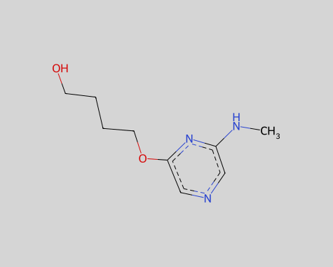 CNc1cncc(OCCCCO)n1